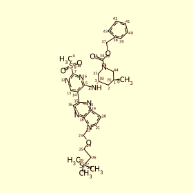 C[C@H]1C[C@H](Nc2nc(S(C)(=O)=O)ncc2-c2cnc3c(ccn3COCC[Si](C)(C)C)n2)CN(C(=O)OCc2ccccc2)C1